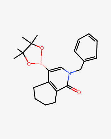 CC1(C)OB(c2cn(Cc3ccccc3)c(=O)c3c2CCCC3)OC1(C)C